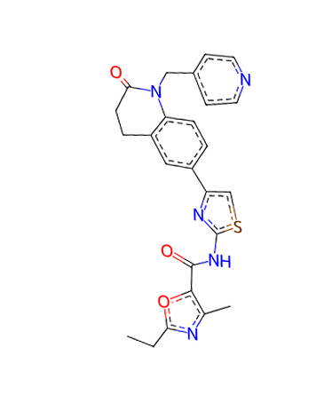 CCc1nc(C)c(C(=O)Nc2nc(-c3ccc4c(c3)CCC(=O)N4Cc3ccncc3)cs2)o1